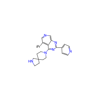 CC(C)c1cncc2nc(-c3ccncc3)nc(N3CCC4(CCNC4)CC3)c12